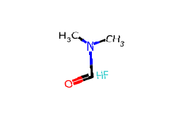 CN(C)C=O.F